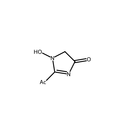 CC(=O)C1=NC(=O)CN1O